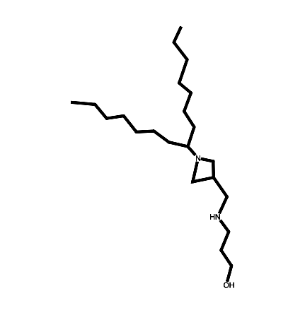 CCCCCCCC(CCCCCCC)N1CC(CNCCCO)C1